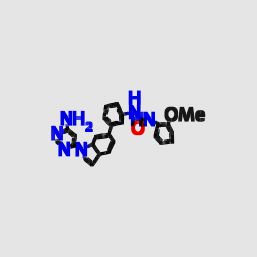 COc1ccccc1NC(=O)Nc1cccc(C2=CC3C(C=C2)C=CN3c2cc(N)ncn2)c1